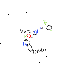 COC(=O)C1(CCCc2c(F)cnc3ccc(OC)cc23)CN(C/C=C/c2cc(F)ccc2F)C1